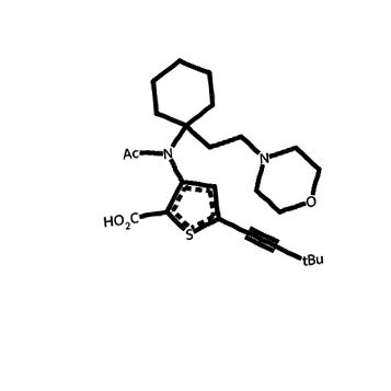 CC(=O)N(c1cc(C#CC(C)(C)C)sc1C(=O)O)C1(CCN2CCOCC2)CCCCC1